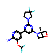 Nc1ncc(-c2cc(N3CC4OC[C@H]43)nc(N3CCC(F)(F)C3)n2)cc1OC(F)F